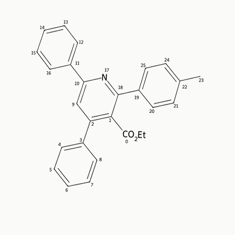 CCOC(=O)c1c(-c2ccccc2)cc(-c2ccccc2)nc1-c1ccc(C)cc1